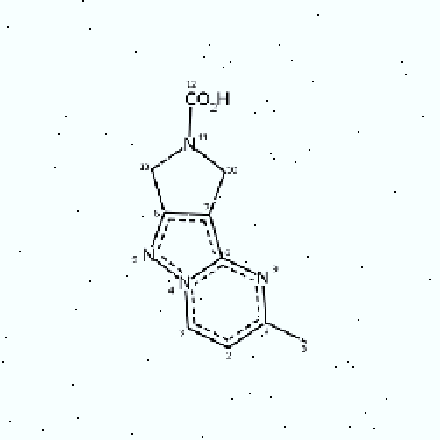 Cc1ccn2nc3c(c2n1)CN(C(=O)O)C3